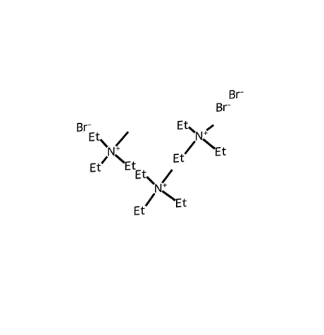 CC[N+](C)(CC)CC.CC[N+](C)(CC)CC.CC[N+](C)(CC)CC.[Br-].[Br-].[Br-]